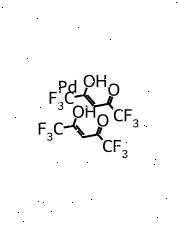 O=C(/C=C(\O)C(F)(F)F)C(F)(F)F.O=C(/C=C(\O)C(F)(F)F)C(F)(F)F.[Pd]